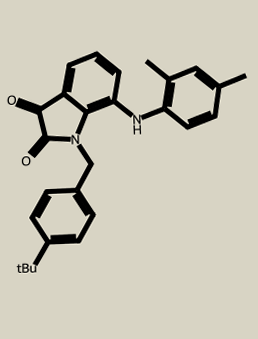 Cc1ccc(Nc2cccc3c2N(Cc2ccc(C(C)(C)C)cc2)C(=O)C3=O)c(C)c1